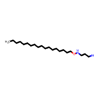 CCCCCCCCCCCCCCCCCCONCCCN